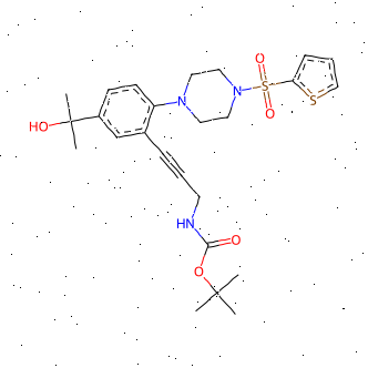 CC(C)(C)OC(=O)NCC#Cc1cc(C(C)(C)O)ccc1N1CCN(S(=O)(=O)c2cccs2)CC1